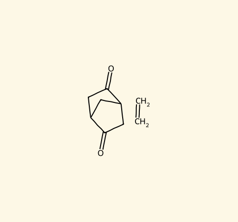 C=C.O=C1CC2CC1CC2=O